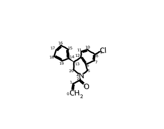 C=CC(=O)N1Cc2cc(Cl)ccc2[C@H](c2ccccc2)C1